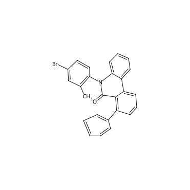 Cc1cc(Br)ccc1-n1c(=O)c2c(-c3ccccc3)cccc2c2ccccc21